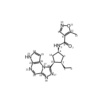 CC[C@@H]1C[C@H](NC(=O)c2cnoc2C)C[C@@H]1c1nnc2cnc3[nH]ccc3n12